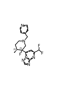 C[C@H]1CCN(Cc2ccncc2)C[C@]1(F)c1cc(C(F)F)nc2ncnn12